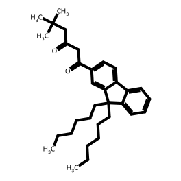 CCCCCCC1(CCCCCC)c2ccccc2-c2ccc(C(=O)CC(=O)CC(C)(C)C)cc21